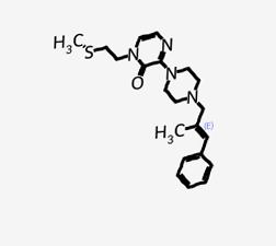 CSCCn1ccnc(N2CCN(C/C(C)=C/c3ccccc3)CC2)c1=O